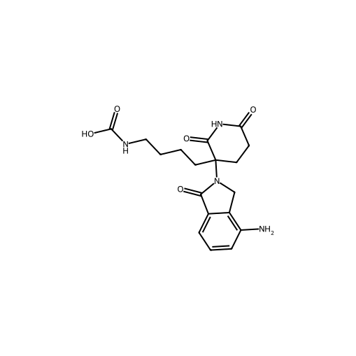 Nc1cccc2c1CN(C1(CCCCNC(=O)O)CCC(=O)NC1=O)C2=O